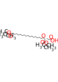 CC(C)(C)OC(=O)CCCCCCCCCCCCCCCCC(=O)[C@H](CCC(=O)O)C(=O)OC(C)(C)C